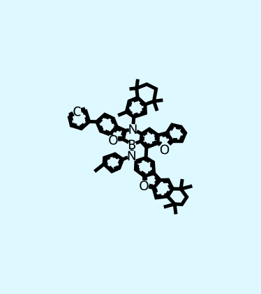 Cc1ccc(N2B3c4oc5cc(-c6ccccc6)ccc5c4N(c4cc5c(cc4C)C(C)(C)CCC5(C)C)c4cc5c(oc6ccccc65)c(c43)-c3cc4c(cc32)oc2cc3c(cc24)C(C)(C)CCC3(C)C)cc1